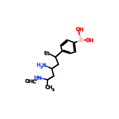 CCC(CC(N)CC(C)NC=O)c1ccc(B(O)O)cc1